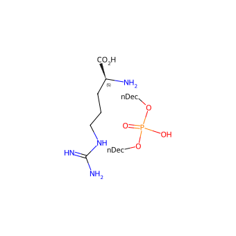 CCCCCCCCCCOP(=O)(O)OCCCCCCCCCC.N=C(N)NCCC[C@H](N)C(=O)O